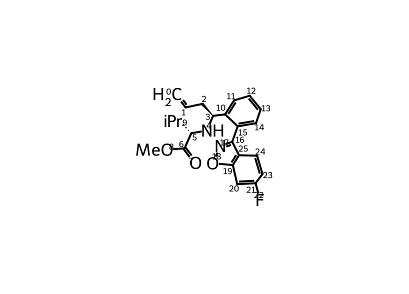 C=CC[C@H](N[C@H](C(=O)OC)C(C)C)c1ccccc1-c1noc2cc(F)ccc12